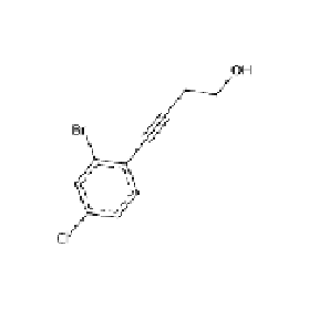 OCCC#Cc1ccc(Cl)cc1Br